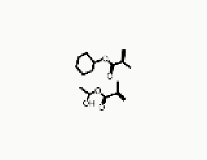 C=C(C)C(=O)OC(C)O.C=C(C)C(=O)OC1CCCCC1